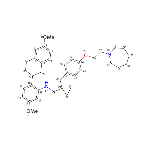 COc1ccc2c(c1)CCC(c1ccc(OC)cc1NCC1(Cc3ccc(OCCN4CCCCCC4)cc3)CC1)C2